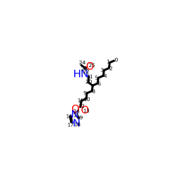 CCCCCCCC(CCCCC(=O)On1ccnc1)CCNC(C)=O